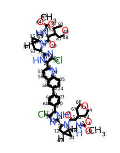 COC(=O)N[C@H](C(=O)N1[C@@H]2C[C@@H]2C[C@H]1c1nc(Cl)c(-c2ccc(-c3ccc4nc(-c5[nH]c([C@@H]6C[C@H]7C[C@H]7N6C(=O)[C@@H](NC(=O)OC)C6CCOCC6)nc5Cl)ccc4c3)cc2)[nH]1)C1CCOCC1